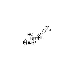 Cc1cc(CNc2nccc(Nc3cc(OCc4ccc(C(F)(F)F)cc4)[nH]n3)n2)on1.Cl